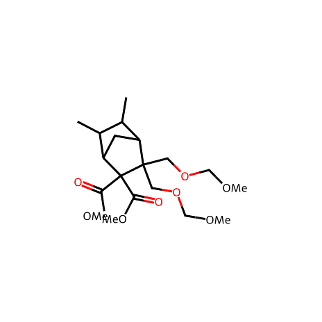 COCOCC1(COCOC)C2CC(C(C)C2C)C1(C(=O)OC)C(=O)OC